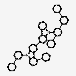 c1ccc(-c2cccc(-c3ccc(-c4ccccc4)c(-n4c5ccccc5c5cc(-c6ccc7c(c6)c6c(-c8ccccc8)cccc6n7-c6cccc(-c7ccccc7)c6)ccc54)c3)c2)cc1